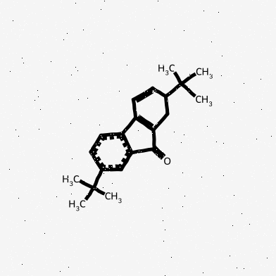 CC(C)(C)c1ccc2c(c1)C(=O)C1=C2C=CC(C(C)(C)C)C1